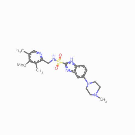 COc1c(C)cnc(CNS(=O)(=O)c2nc3cc(N4CCN(C)CC4)ccc3[nH]2)c1C